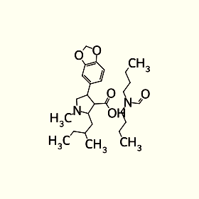 CCC(C)CC1C(C(=O)O)C(c2ccc3c(c2)OCO3)CN1C.CCCCN(C=O)CCCC